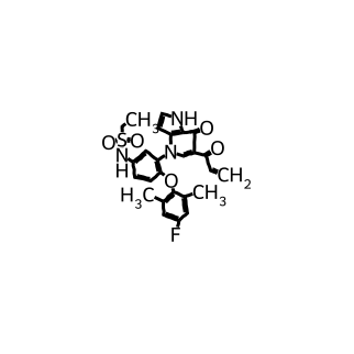 C=CC(=O)c1cn(-c2cc(NS(=O)(=O)CC)ccc2Oc2c(C)cc(F)cc2C)c2cc[nH]c2c1=O